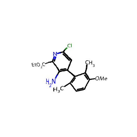 CCOC(=O)c1nc(Cl)cc(-c2c(C)ccc(OC)c2C)c1N